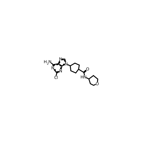 Nc1nc(Cl)nc2c1ncn2C1CCC(C(=O)NC2CCOCC2)CC1